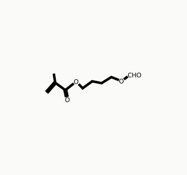 C=C(C)C(=O)OCCCCOC=O